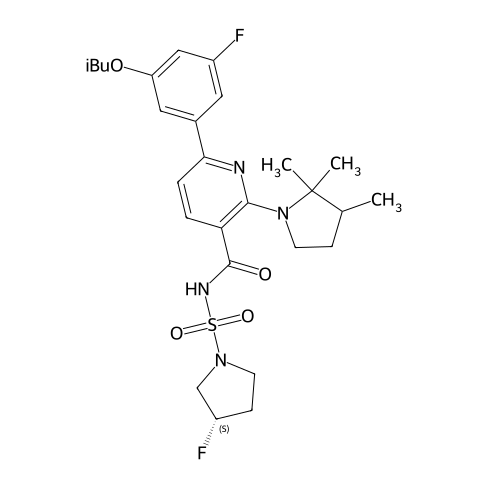 CC(C)COc1cc(F)cc(-c2ccc(C(=O)NS(=O)(=O)N3CC[C@H](F)C3)c(N3CCC(C)C3(C)C)n2)c1